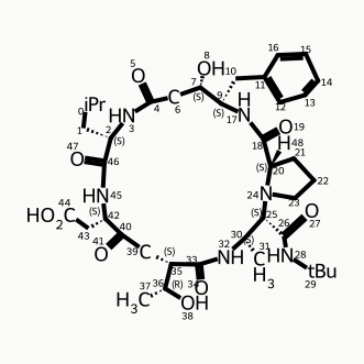 CC(C)C[C@@H]1NC(=O)C[C@H](O)[C@H](Cc2ccccc2)NC(=O)[C@@H]2CCCN2[C@H](C(=O)NC(C)(C)C)[C@H](C)NC(=O)[C@H]([C@@H](C)O)CC(=O)[C@H](CC(=O)O)NC1=O